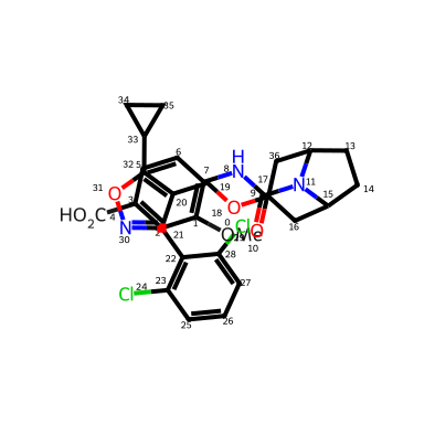 COc1cc(C(=O)O)ccc1NC(=O)N1C2CCC1CC(OCc1c(-c3c(Cl)cccc3Cl)noc1C1CC1)C2